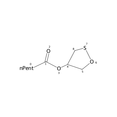 CCCCCC(=O)OC1COSC1